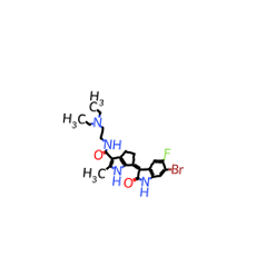 CCN(CC)CCNC(=O)c1c(C)[nH]c2c1CC/C2=C1/C(=O)Nc2cc(Br)c(F)cc21